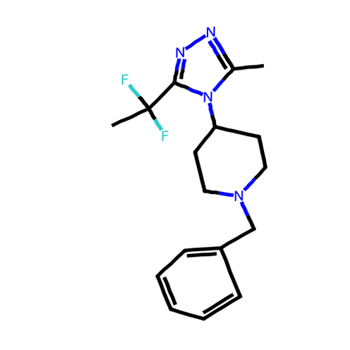 Cc1nnc(C(C)(F)F)n1C1CCN(Cc2ccccc2)CC1